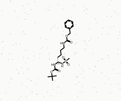 CC(C)(C)OC(=O)N[C@H](CCCCNC(=O)OCc1ccccc1)NS(C)(=O)=O